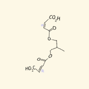 CC(COC(=O)/C=C\C(=O)O)COC(=O)/C=C\C(=O)O